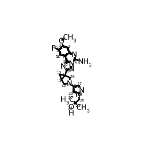 COc1cc2nc(N)n3nc(C45CC4CN(c4cnn(CC(C)(C)O)c4)C5)nc3c2cc1F